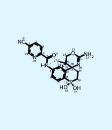 N#Cc1ccc(C(=O)Nc2ccc3c(c2)[C@@]2(CCS3(O)O)N=C(N)OCC2(F)F)nc1